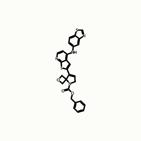 O=C(OCc1ccccc1)N1CC=C(c2cc3c(Nc4ccc5scnc5c4)ccnc3s2)C12COC2